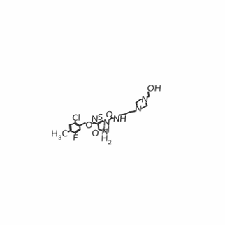 Cc1cc(Cl)c(COc2nsc(NC(=O)NCCCCN3CCN(CCO)CC3)c2C(N)=O)cc1F